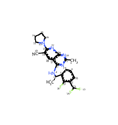 Cc1nc(N[C@H](C)c2cccc(C(F)F)c2F)c2cc(C#N)c(N3CCCC3)nc2n1